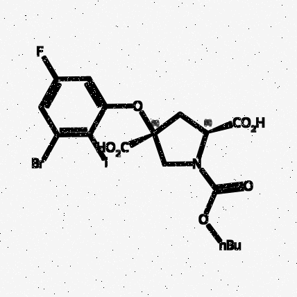 CCCCOC(=O)N1C[C@@](Oc2cc(F)cc(Br)c2I)(C(=O)O)C[C@H]1C(=O)O